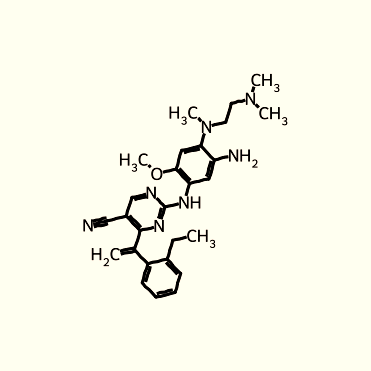 C=C(c1ccccc1CC)c1nc(Nc2cc(N)c(N(C)CCN(C)C)cc2OC)ncc1C#N